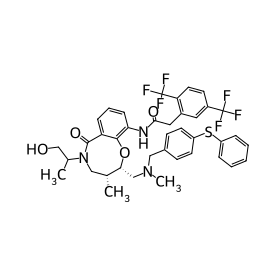 CC(CO)N1C[C@@H](C)[C@@H](CN(C)Cc2ccc(Sc3ccccc3)cc2)Oc2c(NC(=O)Cc3cc(C(F)(F)F)ccc3C(F)(F)F)cccc2C1=O